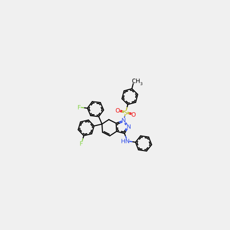 Cc1ccc(S(=O)(=O)n2nc(Nc3ccccc3)c3c2CC(c2cccc(F)c2)(c2cccc(F)c2)C=C3)cc1